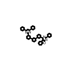 c1ccc(-c2cc(-c3ccccc3)nc(-c3cccc(-c4cccc(-c5cccc(-c6nc(-c7ccccc7)nc7oc8ccccc8c67)c5)c4)c3)n2)cc1